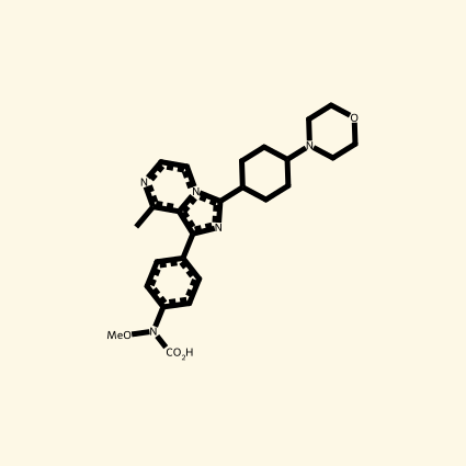 CON(C(=O)O)c1ccc(-c2nc(C3CCC(N4CCOCC4)CC3)n3ccnc(C)c23)cc1